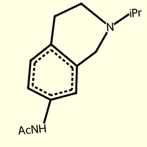 CC(=O)Nc1ccc2c(c1)CN(C(C)C)CC2